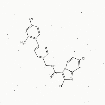 CCc1nc2cc(Cl)ccn2c1C(=O)NCc1ccc(-c2ccc(C#N)cc2C)cc1